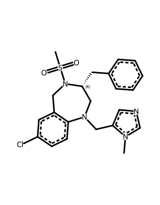 Cn1cncc1CN1C[C@@H](Cc2ccccc2)N(S(C)(=O)=O)Cc2cc(Cl)ccc21